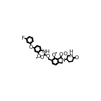 COc1cc(Oc2cccc(F)c2)ccc1NC(=O)OCc1ccc2c(c1OC)C(=O)N(C1CCC(=O)NC1=O)C2